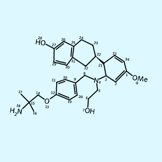 COC1=CC(N(CCO)Cc2ccc(OCC(C)(C)N)cc2)C([C@@H]2CCc3cc(O)ccc3C2)C=C1